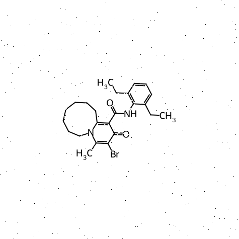 CCc1cccc(CC)c1NC(=O)c1c2n(c(C)c(Br)c1=O)CCCCCCC2